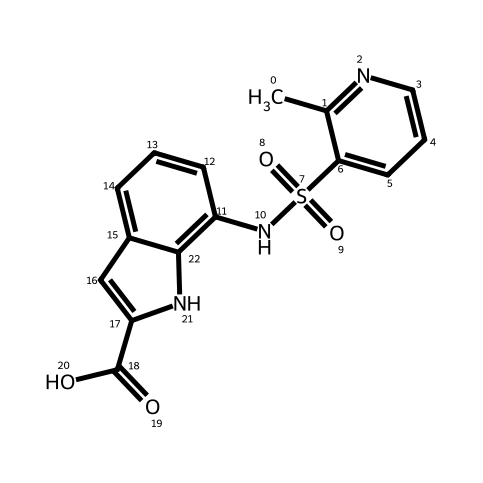 Cc1ncccc1S(=O)(=O)Nc1cccc2cc(C(=O)O)[nH]c12